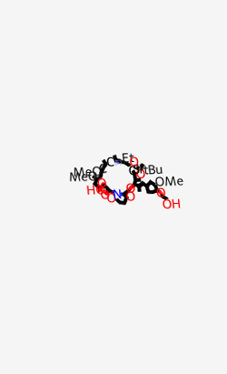 CCC1/C=C(\C)CC(C)CC(OC)C2OC(O)(C(=O)C(=O)N3CCCCC3C(=O)OC(C(C)=CC3CCC(OCCO)C(OC)C3)C(C)C(O[Si](C)(C)C(C)(C)C)CC1=O)C(C)CC2OC